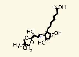 CC1(C)COC([C@H](O)/C=C/[C@@H]2[C@@H](CCCCCCC(=O)O)[C@@H](O)C[C@H]2O)OC1